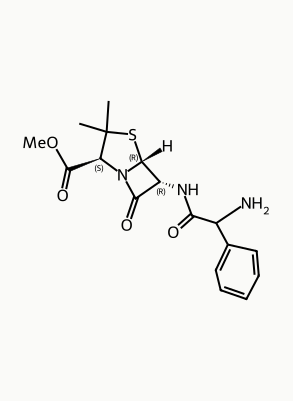 [CH2]OC(=O)[C@@H]1N2C(=O)[C@@H](NC(=O)C(N)c3ccccc3)[C@H]2SC1(C)C